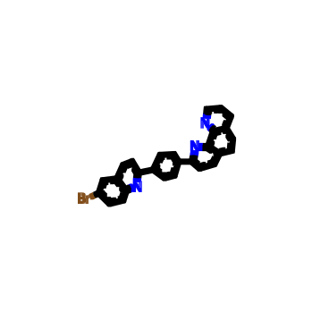 Brc1ccc2nc(-c3ccc(-c4ccc5ccc6cccnc6c5n4)cc3)ccc2c1